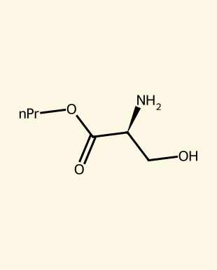 CCCOC(=O)[C@@H](N)CO